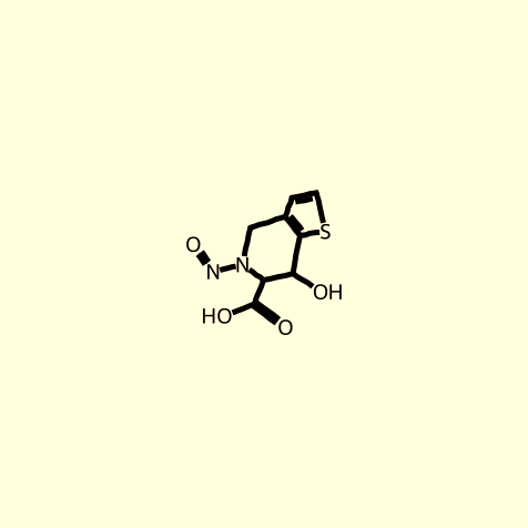 O=NN1Cc2ccsc2C(O)C1C(=O)O